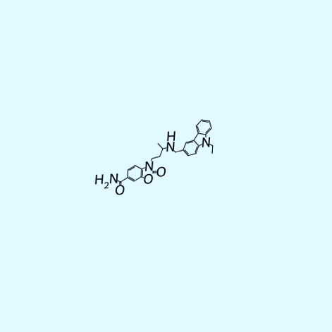 CCn1c2ccccc2c2cc(CNC(C)CCn3c(=O)oc4cc(C(N)=O)ccc43)ccc21